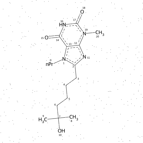 CCCn1c(CCCCC(C)(C)O)nc2c1c(=O)[nH]c(=O)n2C